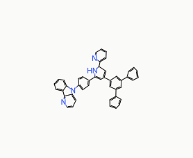 C1=C(c2cc(-c3ccccc3)cc(-c3ccccc3)c2)C=C(c2ccc(-n3c4ccccc4c4ncccc43)cc2)NC1c1ccccn1